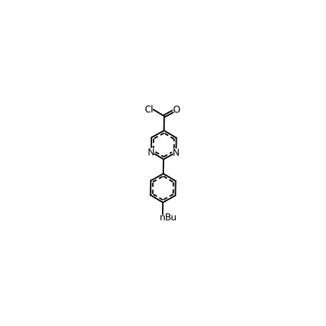 CCCCc1ccc(-c2ncc(C(=O)Cl)cn2)cc1